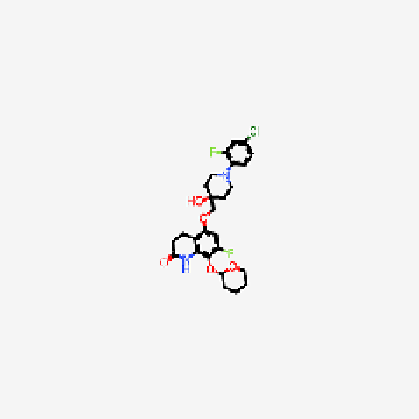 O=C1CCc2c(OCC3(O)CCN(c4ccc(Cl)cc4F)CC3)cc(F)c(OC3CCCCO3)c2N1